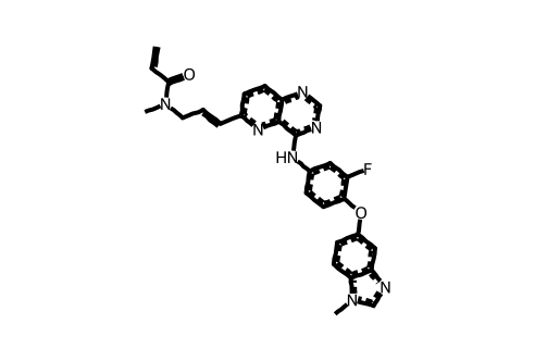 C=CC(=O)N(C)CC=Cc1ccc2ncnc(Nc3ccc(Oc4ccc5c(c4)ncn5C)c(F)c3)c2n1